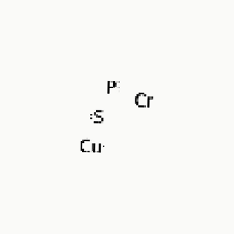 [Cr].[Cu].[P].[S]